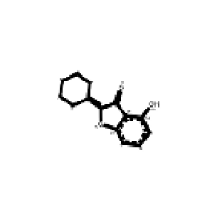 O=C1C(=C2CCCCC2)Oc2cccc(O)c21